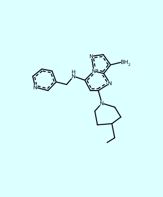 Bc1cnn2c(NCc3cccnc3)cc(N3CCC(CC)CC3)nc12